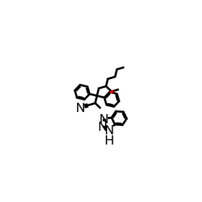 CCCCC(CC)CC(c1ccccc1)(c1ccccc1)C(C)C#N.c1ccc2[nH]nnc2c1